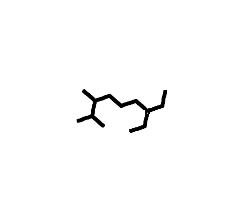 CCN(CC)CCCC(C)C(C)C